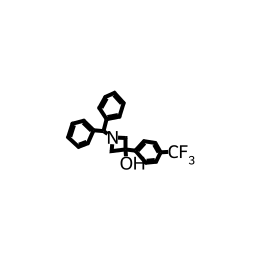 OC1(c2ccc(C(F)(F)F)cc2)CN(C(c2ccccc2)c2ccccc2)C1